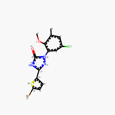 COc1c(C)cc(Cl)cc1-n1nc(-c2ccc(Br)s2)[nH]c1=O